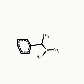 CB(C)C(C)c1ccccc1